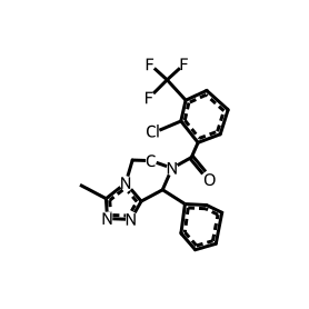 Cc1nnc2n1CCN(C(=O)c1cccc(C(F)(F)F)c1Cl)C2c1ccccc1